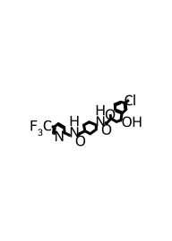 O=C(NCc1ccc(C(F)(F)F)cn1)C1CCC(NC(=O)C2CC(O)c3cc(Cl)ccc3O2)CC1